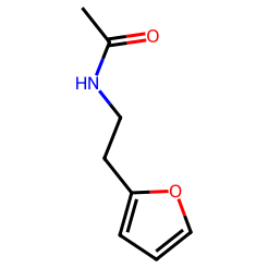 CC(=O)NCCc1ccco1